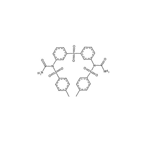 Cc1ccc(S(=O)(=O)N(C(N)=O)c2cccc(S(=O)(=O)c3cccc(N(C(N)=O)S(=O)(=O)c4ccc(C)cc4)c3)c2)cc1